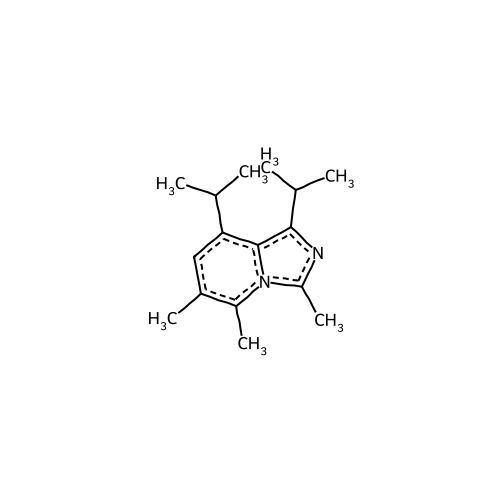 Cc1cc(C(C)C)c2c(C(C)C)nc(C)n2c1C